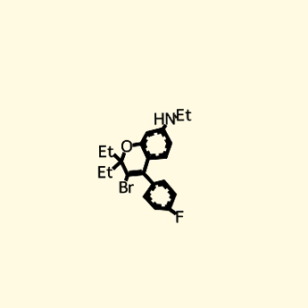 CCNc1ccc2c(c1)OC(CC)(CC)C(Br)=C2c1ccc(F)cc1